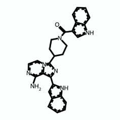 Nc1nccn2c(C3CCN(C(=O)c4c[nH]c5ccccc45)CC3)nc(-c3cc4ccccc4[nH]3)c12